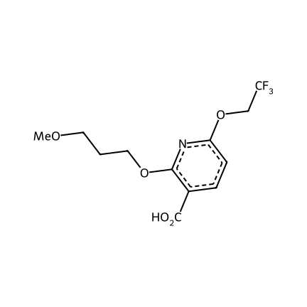 COCCCOc1nc(OCC(F)(F)F)ccc1C(=O)O